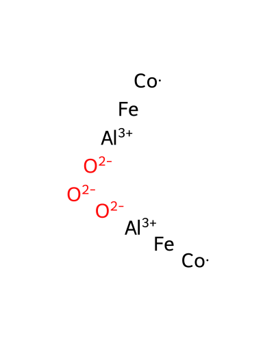 [Al+3].[Al+3].[Co].[Co].[Fe].[Fe].[O-2].[O-2].[O-2]